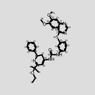 CCOC(C)(C)C1=NC(c2ccccc2)CC(NC(=O)Nc2cccc(Sc3ncnc4cc(OC)c(OC)cc34)c2)=C1